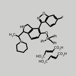 CC(C1NCc2c1ccc(O[Si](C(C)C)(C(C)C)C(C)C)c2-c1noc2cc(F)ccc12)N1CCCCC1.O=C(O)C=CC(=O)O.O=C(O)C=CC(=O)O